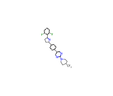 Fc1cccc(F)c1C1=NC(c2ccc(-c3cnc(N4CCC(C(F)(F)F)CC4)nc3)cc2)CC1